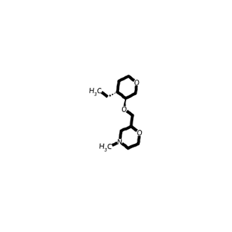 CC[C@@H]1CCOC[C@H]1OCC1CN(C)CCO1